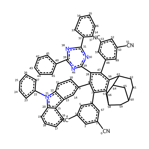 N#Cc1cc(C#N)cc(-c2c(-c3ccc4c(c3)c3ccccc3n4-c3ccccc3)c(-c3nc(-c4ccccc4)nc(-c4ccccc4)n3)c(-c3cc(C#N)cc(C#N)c3)c3c2C2CC4CCC3C(C4)C2)c1